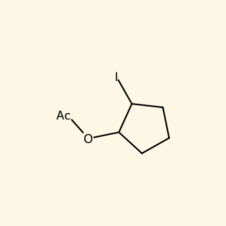 CC(=O)OC1CCCC1I